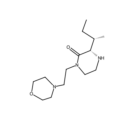 CC[C@H](C)[C@@H]1NCCN(CCN2CCOCC2)C1=O